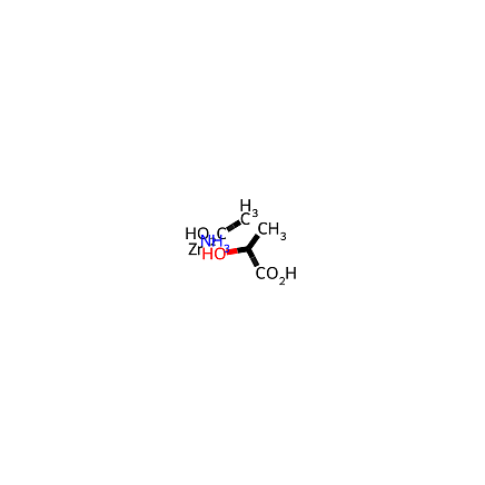 CC(=O)O.CC(O)C(=O)O.N.[Zr]